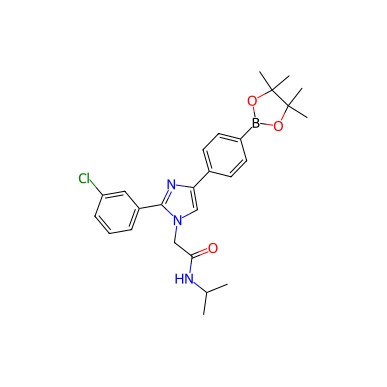 CC(C)NC(=O)Cn1cc(-c2ccc(B3OC(C)(C)C(C)(C)O3)cc2)nc1-c1cccc(Cl)c1